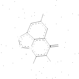 Cc1c(C)n2nnc3cc(C(C)(C)C)cc(c1=O)c32